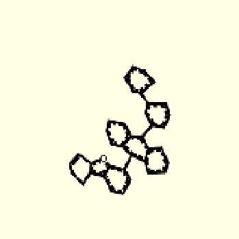 C1=Cc2oc3c(-c4c5ccccc5c(-c5cccc(-c6ccccc6)c5)c5ccccc45)cccc3c2CC1